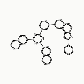 c1ccc(-c2nc3c(ccc4ccc(-c5cccc(-c6nc(-c7ccc8ccccc8c7)nc(-c7ccc8ccccc8c7)n6)c5)cc43)s2)cc1